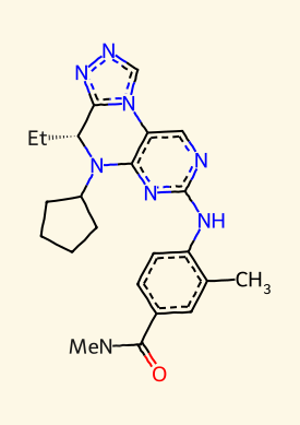 CC[C@@H]1c2nncn2-c2cnc(Nc3ccc(C(=O)NC)cc3C)nc2N1C1CCCC1